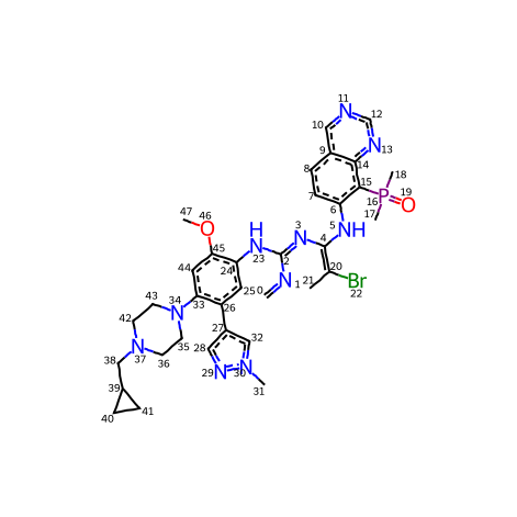 C=N/C(=N\C(Nc1ccc2cncnc2c1P(C)(C)=O)=C(/C)Br)Nc1cc(-c2cnn(C)c2)c(N2CCN(CC3CC3)CC2)cc1OC